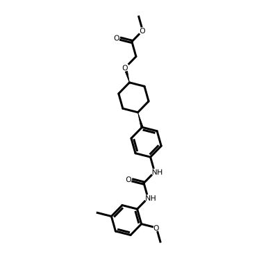 COC(=O)CO[C@H]1CC[C@@H](c2ccc(NC(=O)Nc3cc(C)ccc3OC)cc2)CC1